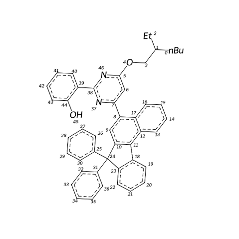 CCCCC(CC)COc1cc(-c2cc3c(c4ccccc24)-c2ccccc2C3(c2ccccc2)c2ccccc2)nc(-c2ccccc2O)n1